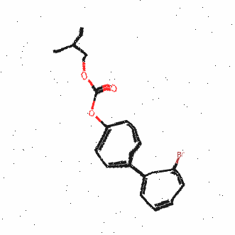 CC(C)COC(=O)Oc1ccc(-c2ccccc2Br)cc1